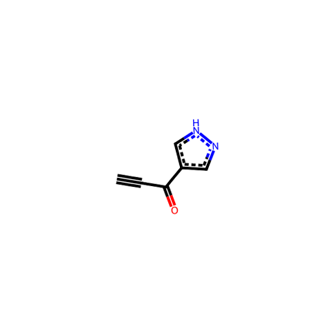 C#CC(=O)c1cn[nH]c1